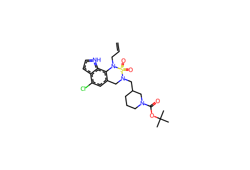 C=CCN1c2c(cc(Cl)c3cc[nH]c23)CN(CC2CCCN(C(=O)OC(C)(C)C)C2)S1(=O)=O